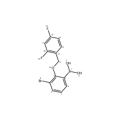 OB(O)c1cccc(Br)c1OCc1ccc(F)cc1F